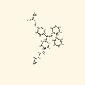 O=C(O)C=Cc1ccc(C(=O)c2ccc(OCCCO)cc2)cc1.c1ccc(-c2ccccc2)cc1